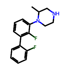 CC1CNCCN1c1cccc(-c2ccccc2F)c1F